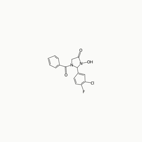 O=C1CN(C(=O)c2ccccc2)C(c2ccc(F)c(Cl)c2)N1O